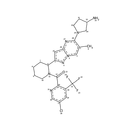 Cc1cn2nc(C3CCCCN3C(=O)c3ncc(Cl)cc3C(F)(F)F)cc2nc1N1CCC(N)C1